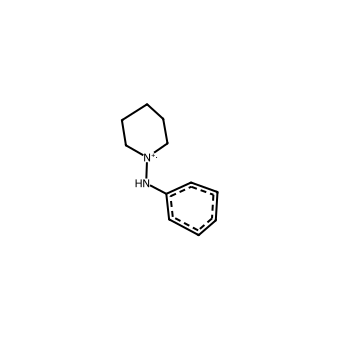 c1ccc(N[N+]2CCCCC2)cc1